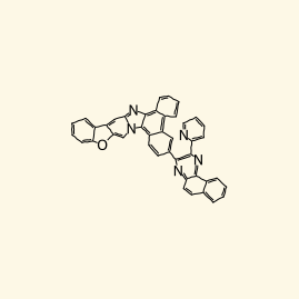 c1ccc(-c2nc3c(ccc4ccccc43)nc2-c2ccc3c(c2)c2ccccc2c2nc4cc5c(cn4c32)oc2ccccc25)nc1